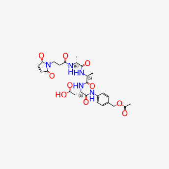 CC(=O)OCc1ccc(NC(=O)[C@H](CC(=O)O)NC(=O)[C@H](C)NC(=O)[C@@H](C)NC(=O)CCN2C(=O)C=CC2=O)cc1